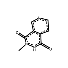 Cn1[nH]c(=O)c2ccncc2c1=O